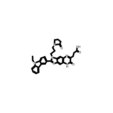 CCn1c2ccccc2c2cc(-c3nc4cc5[nH]c(=O)c(CCC(=O)O)nc5cc4n3CCCN3CCCC3=O)ccc21